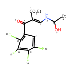 CCOC(=O)C(=CNC(O)CC)C(=O)c1cc(F)c(F)c(F)c1F